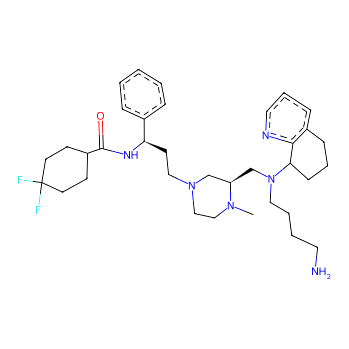 CN1CCN(CC[C@@H](NC(=O)C2CCC(F)(F)CC2)c2ccccc2)C[C@H]1CN(CCCCN)C1CCCc2cccnc21